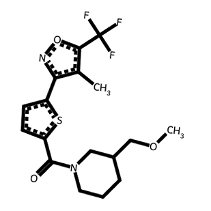 COCC1CCCN(C(=O)c2ccc(-c3noc(C(F)(F)F)c3C)s2)C1